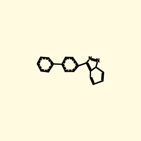 C1=CC2=C(c3ccc(-c4ccccc4)cc3)N=NC2C=C1